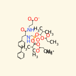 CCC(=O)OC(OP(=O)(CNC(Cc1ccc(-c2ccccc2)cc1)C(=O)NCCC(=O)[O-])O[C@H](OC(=O)CC)C(C)C)C(C)C.[Na+]